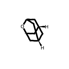 C1[C]2C[C@@H]3CC(C[C@@H]1C3)O2